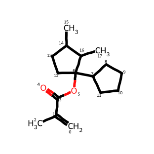 C=C(C)C(=O)OC1(C2CCCC2)CCC(C)C1C